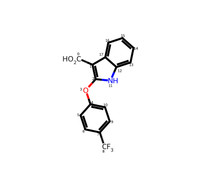 O=C(O)c1c(Oc2ccc(C(F)(F)F)cc2)[nH]c2ccccc12